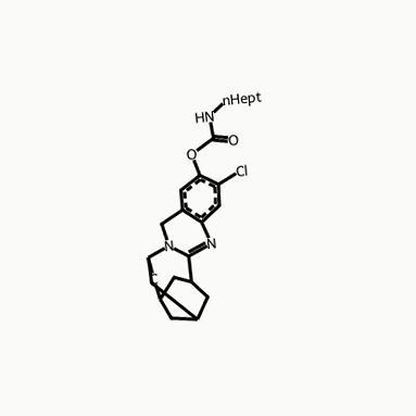 CCCCCCCNC(=O)Oc1cc2c(cc1Cl)N=C1C3CC4CC(C3)CC(C4)N1C2